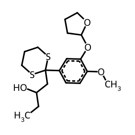 CCC(O)CC1(c2ccc(OC)c(OC3CCCO3)c2)SCCCS1